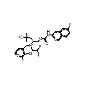 CC(C)(O)C[C@@H](COC(=O)Nc1cc2cc(F)ccc2cn1)[N+](Cc1cccc(F)c1Cl)CC(F)F